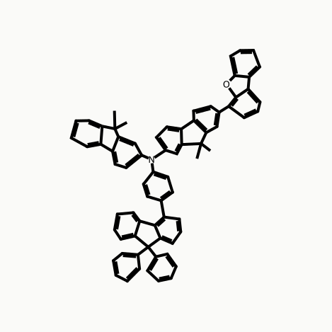 CC1(C)c2ccccc2-c2ccc(N(c3ccc(-c4cccc5c4-c4ccccc4C5(c4ccccc4)c4ccccc4)cc3)c3ccc4c(c3)C(C)(C)c3cc(-c5cccc6c5oc5ccccc56)ccc3-4)cc21